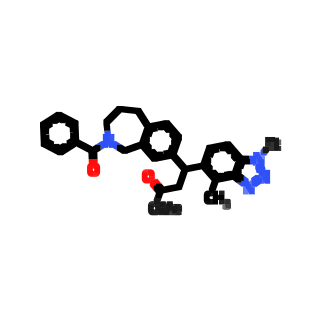 CCn1nnc2c(C)c(C(CC(=O)OC)c3ccc4c(c3)CN(C(=O)c3ccccc3)CCC4)ccc21